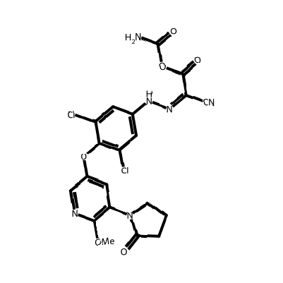 COc1ncc(Oc2c(Cl)cc(NN=C(C#N)C(=O)OC(N)=O)cc2Cl)cc1N1CCCC1=O